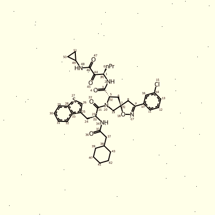 CCC[C@@H](NC(=O)[C@@H]1C[C@]2(CC(c3cccc(Cl)c3)=NO2)CN1C(=O)[C@H](Cc1csc2ccccc12)NC(=O)CC1CCCCC1)C(=O)C(=O)NC1CC1